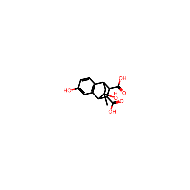 CC1(O)CC2c3ccc(O)cc3C1C(C(=O)O)C2C(=O)O